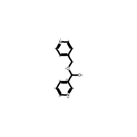 [O]C(OCc1ccncc1)c1cccnc1